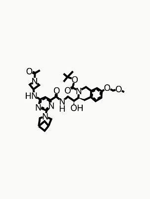 COCOc1ccc2c(c1)CN(C(=O)OC(C)(C)C)[C@H]([C@H](O)CNC(=O)c1cc(NC3CN(C(C)=O)C3)nc(N3CC4CC(C4)C3)n1)C2